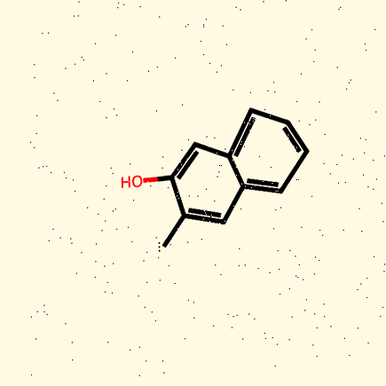 [C]c1cc2ccccc2cc1O